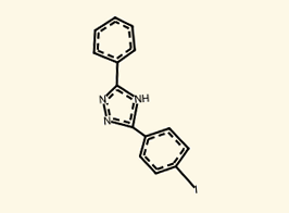 Ic1ccc(-c2nnc(-c3ccccc3)[nH]2)cc1